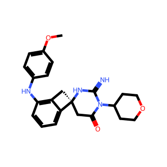 COc1ccc(Nc2cccc3c2C[C@]32CC(=O)N(C3CCOCC3)C(=N)N2)cc1